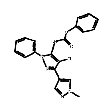 Cn1cc(-c2nn(-c3ccccc3)c(NC(=O)Oc3ccccc3)c2Cl)cn1